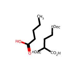 CCCCC(=O)O.CCCCCCCCCCCCC(CCCCCCCCCC)C(=O)O